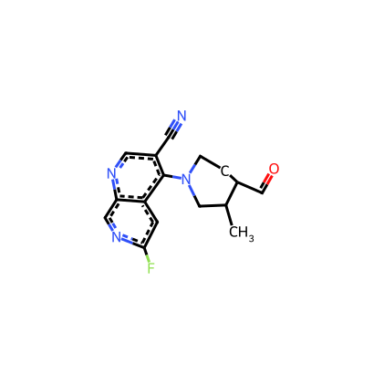 CC1CN(c2c(C#N)cnc3cnc(F)cc23)CCC1C=O